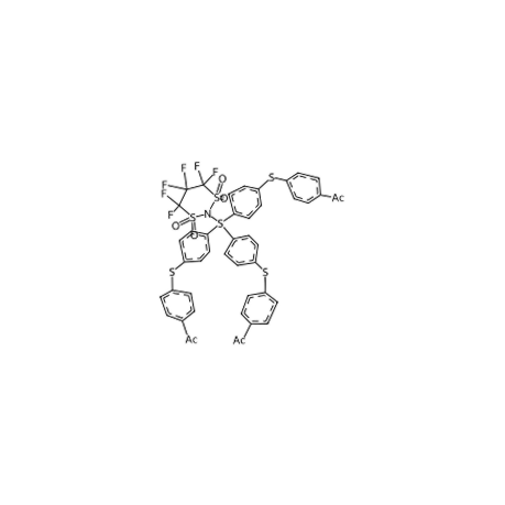 CC(=O)c1ccc(Sc2ccc(S(c3ccc(Sc4ccc(C(C)=O)cc4)cc3)(c3ccc(Sc4ccc(C(C)=O)cc4)cc3)N3S(=O)(=O)C(F)(F)C(F)(F)C(F)(F)S3(=O)=O)cc2)cc1